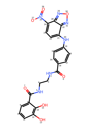 O=C(NCCNC(=O)c1cccc(O)c1O)c1ccc(Nc2ccc([N+](=O)[O-])c3nonc23)cc1